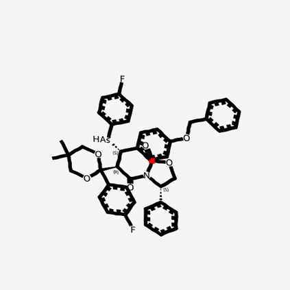 CC1(C)COC(c2ccc(F)cc2)([C@H](C(=O)N2C(=O)OC[C@@H]2c2ccccc2)[C@H]([AsH]c2ccc(F)cc2)c2ccc(OCc3ccccc3)cc2)OC1